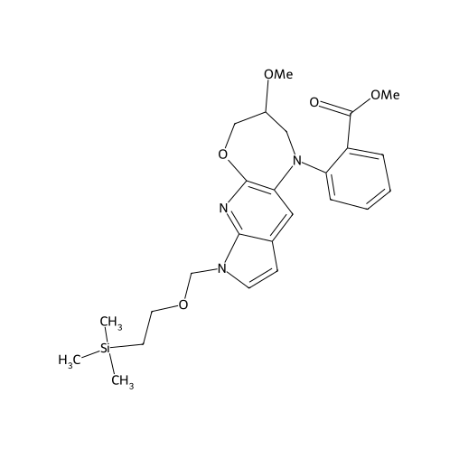 COC(=O)c1ccccc1N1CC(OC)COc2nc3c(ccn3COCC[Si](C)(C)C)cc21